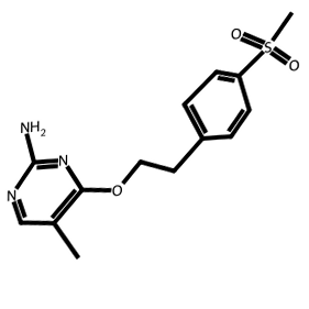 Cc1cnc(N)nc1OCCc1ccc(S(C)(=O)=O)cc1